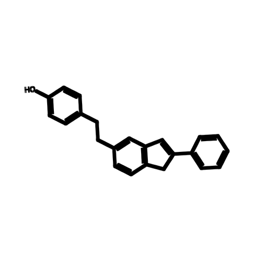 Oc1ccc(CCc2ccc3c(c2)C=C(c2ccccc2)C3)cc1